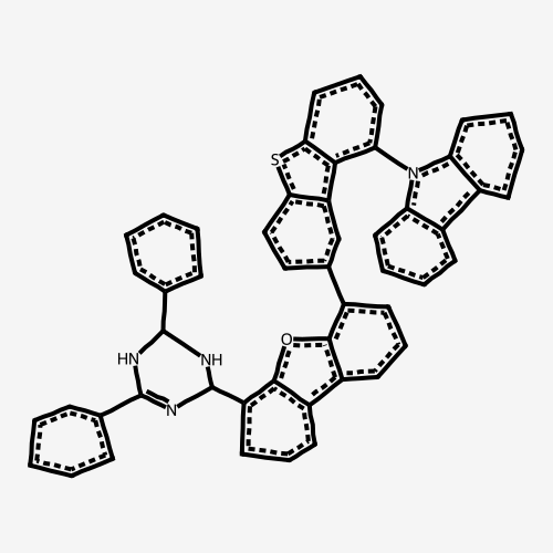 c1ccc(C2=NC(c3cccc4c3oc3c(-c5ccc6sc7cccc(-n8c9ccccc9c9ccccc98)c7c6c5)cccc34)NC(c3ccccc3)N2)cc1